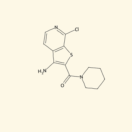 Nc1c(C(=O)N2CCCCC2)sc2c(Cl)nccc12